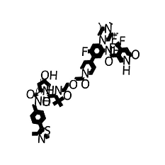 Cc1ncsc1-c1ccc(CNC(=O)[C@@H]2C[C@@H](O)CN2C(=O)C(NC(=O)COCC(=O)N2CC=C(c3cc(NC(=O)c4c[nH]c(=O)cc4C(F)(F)F)c(N4C[C@@H](C)N(C)[C@@H](C)C4)cc3F)CC2)C(C)(C)C)cc1